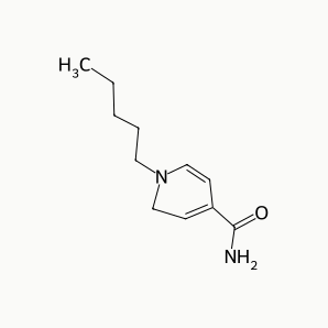 CCCCCN1C=CC(C(N)=O)=CC1